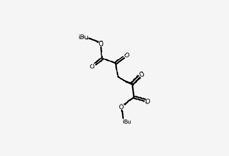 CCC(C)OC(=O)C(=O)CC(=O)C(=O)OC(C)CC